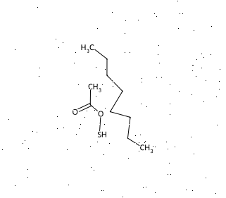 CC(=O)OS.CCCCCCCC